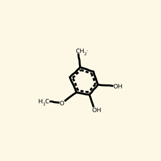 [CH2]c1cc(O)c(O)c(OC)c1